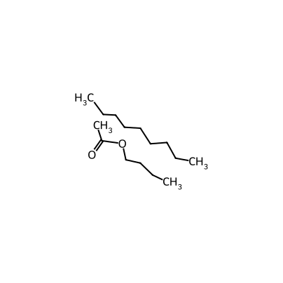 CCCCCCCCC.CCCCOC(C)=O